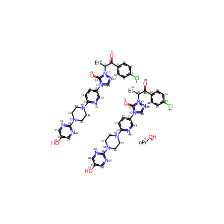 CCC(C(=O)c1ccc(Cl)cc1)n1ncn(-c2ccc(N3CCN(c4ncc(O)cn4)CC3)nc2)c1=O.CCC(C(=O)c1ccc(Cl)cc1)n1ncn(-c2ccc(N3CCN(c4ncc(O)cn4)CC3)nc2)c1=O.CCCO